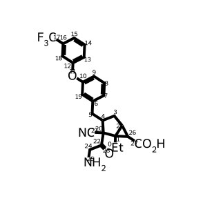 CCC12C(CC(Cc3cccc(Oc4cccc(C(F)(F)F)c4)c3)C1(C#N)C(=O)CN)C2C(=O)O